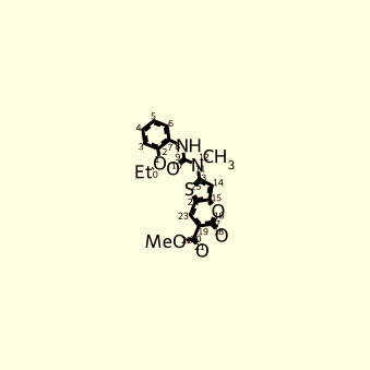 CCOc1ccccc1NC(=O)N(C)c1cc2oc(=O)c(C(=O)OC)cc2s1